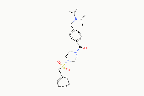 CC(C)N(Cc1ccc(C(=O)N2CCN(S(=O)(=O)Cc3ccccc3)CC2)cc1)C(C)C